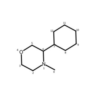 CN1CCOCC1[C]1CCCCC1